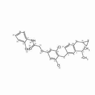 CC(C)c1cc(Cc2c(Cl)cc(OCC(=O)Nc3ccccc3O)cc2Cl)ccc1CC1CC1